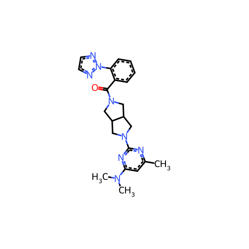 Cc1cc(N(C)C)nc(N2CC3CN(C(=O)c4ccccc4-n4nccn4)CC3C2)n1